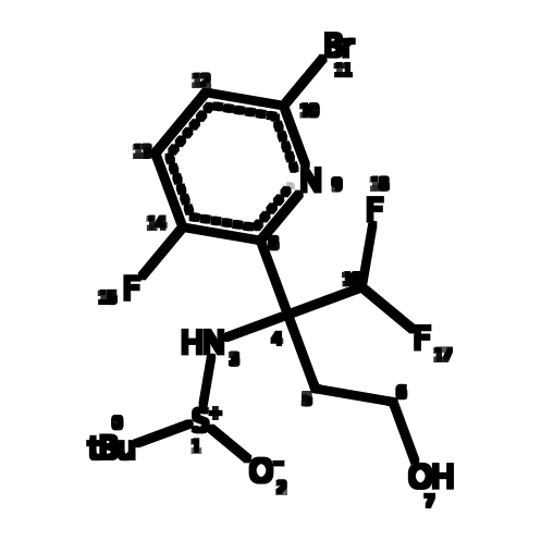 CC(C)(C)[S+]([O-])NC(CCO)(c1nc(Br)ccc1F)C(F)F